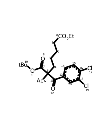 CCOC(=O)CCCCC(C(C)=O)(C(=O)OC(C)(C)C)C(=O)c1ccc(Cl)c(Cl)c1